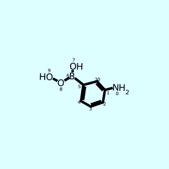 Nc1cccc(B(O)OO)c1